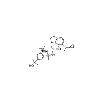 CC(c1ccc2c(c1NC(=O)NS(=O)(=N[Si](C)(C)C(C)(C)C)c1ccc(C(C)(C)O)s1)CCC2)C1CC1